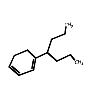 CCCC(CCC)C1=CC=CCC1